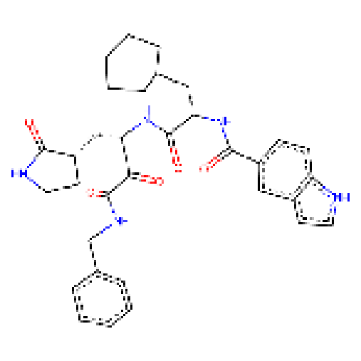 O=C(NCc1ccccc1)C(=O)[C@H](C[C@@H]1CCNC1=O)NC(=O)[C@H](CC1CCCCC1)NC(=O)c1ccc2[nH]ccc2c1